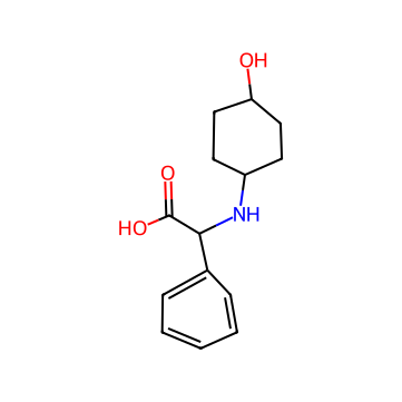 O=C(O)C(NC1CCC(O)CC1)c1ccccc1